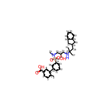 Cc1ccc(C(=O)O)cc1-c1cccc(S(=O)(=O)N(C)CC(O)CNC(C)(C)CC2Cc3ccccc3C2)c1